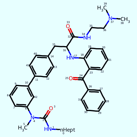 CCCCCCCNC(=O)N(C)c1cccc(-c2ccc(CC(Nc3ccccc3C(=O)c3ccccc3)C(=O)NCCN(C)C)cc2)c1